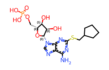 Nc1nc(SCC2CCCC2)nc2c1ncn2[C@@H]1O[C@H](COP(=O)(O)O)[C@@H](O)[C@H]1O